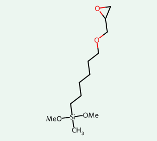 CO[Si](C)(CCCCCCOCC1CO1)OC